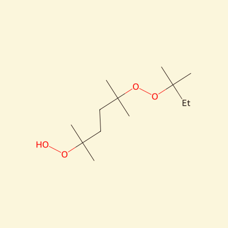 CCC(C)(C)OOC(C)(C)CCC(C)(C)OO